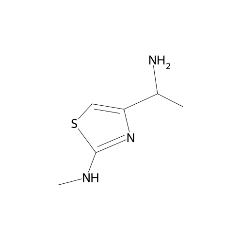 CNc1nc(C(C)N)cs1